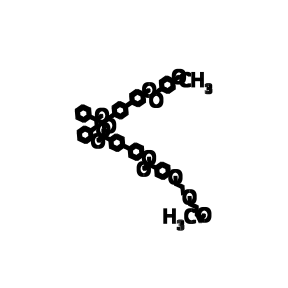 COc1ccc(C(=O)Oc2ccc(-c3ccc(C(=O)OC(c4ccccc4)C(OC(=O)c4ccc(-c5ccc(OC(=O)c6ccc(OCCCOCCC7(C)CO7)cc6)cc5)cc4)c4ccccc4)cc3)cc2)cc1